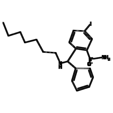 CCCCCCCNC(c1ccccc1)c1ccc(I)cc1[S+](N)[O-]